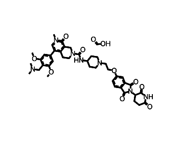 COc1cc(-c2cn(C)c(=O)c3c2CCN(C(=O)NC2CCN(CCOc4ccc5c(c4)C(=O)N(C4CCC(=O)NC4=O)C5=O)CC2)C3)cc(OC)c1CN(C)C.O=CO